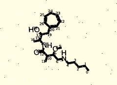 CCCCCNCC(OC)C(C)C(=O)NC(C)C(O)CC1=CC=CCC=C1